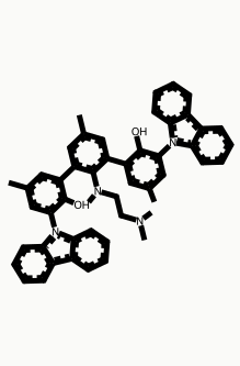 Cc1cc(-c2cc(C)cc(-n3c4ccccc4c4ccccc43)c2O)c(N(C)CCN(C)C)c(-c2cc(C)cc(-n3c4ccccc4c4ccccc43)c2O)c1